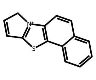 C1=Cc2sc3c4ccccc4ccc3[n+]2C1